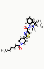 CCCCCC(=O)N1CCC(c2nc(C(=O)Nc3ccccc3C(C)(C)C)cs2)CC1